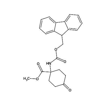 COC(=O)C1(NC(=O)OCC2c3ccccc3-c3ccccc32)CCC(=O)CC1